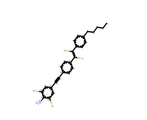 CCCCCc1ccc(/C(F)=C(\F)c2ccc(C#Cc3cc(F)c(N)c(F)c3)cc2)cc1